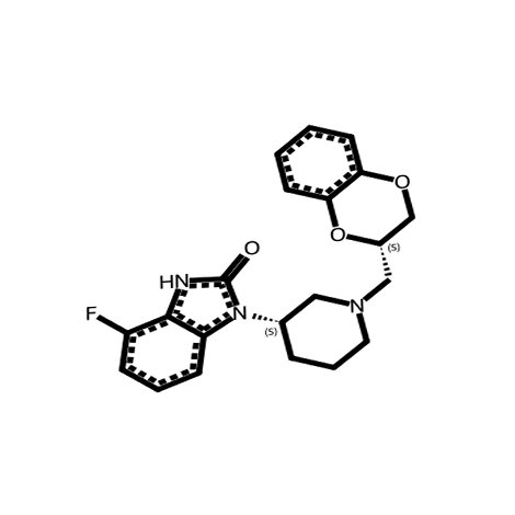 O=c1[nH]c2c(F)cccc2n1[C@H]1CCCN(C[C@H]2COc3ccccc3O2)C1